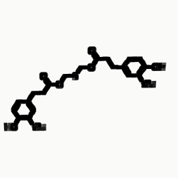 CC(C)(C)c1cc(CCC(=O)OCSCOC(=O)CCc2ccc(O)c(C(C)(C)C)c2)ccc1O